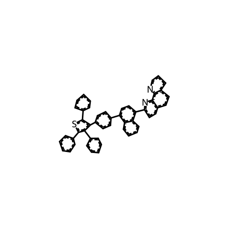 c1ccc(-c2sc(-c3ccccc3)c(-c3ccc(-c4ccc(-c5ccc6ccc7cccnc7c6n5)c5ccccc45)cc3)c2-c2ccccc2)cc1